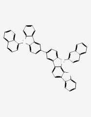 c1ccc2cc(-n3c4ccc(-c5ccc6c(c5)c5ccccc5n6-c5cccc6ccccc56)cc4c4ccc5c6ccccc6sc5c43)ccc2c1